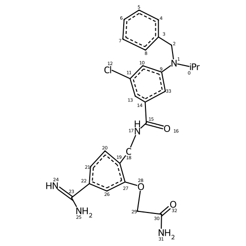 CC(C)N(Cc1ccccc1)c1cc(Cl)cc(C(=O)NCc2ccc(C(=N)N)cc2OCC(N)=O)c1